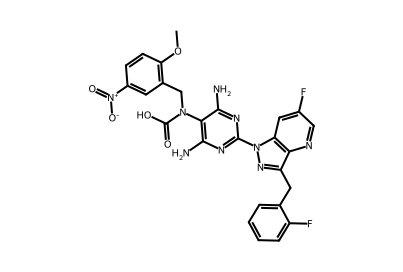 COc1ccc([N+](=O)[O-])cc1CN(C(=O)O)c1c(N)nc(-n2nc(Cc3ccccc3F)c3ncc(F)cc32)nc1N